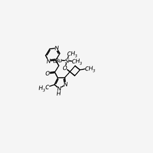 Cc1[nH]nc(C2(O[Si](C)(C)C(C)(C)C)CC(C)C2)c1C(=O)Cc1cnccn1